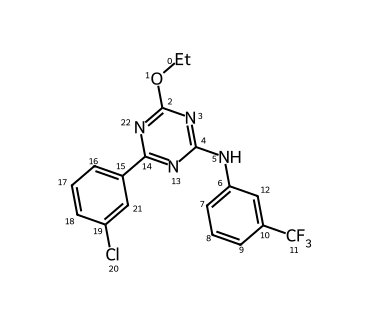 CCOc1nc(Nc2cccc(C(F)(F)F)c2)nc(-c2cccc(Cl)c2)n1